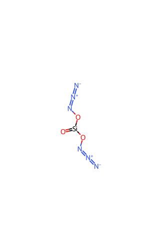 [N-]=[N+]=NO[Si](=O)ON=[N+]=[N-]